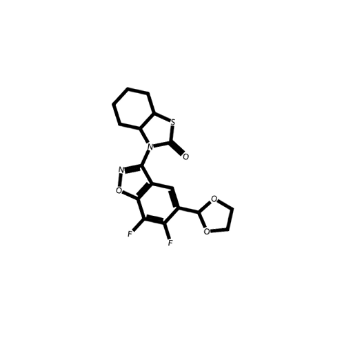 O=C1SC2CCCCC2N1c1noc2c(F)c(F)c(C3OCCO3)cc12